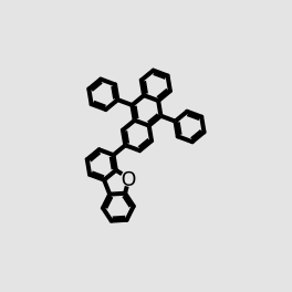 c1ccc(-c2c3ccccc3c(-c3ccccc3)c3cc(-c4cccc5c4oc4ccccc45)ccc23)cc1